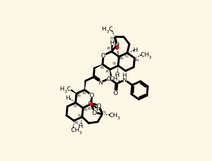 C[C@H]1[C@@H](CC(C[C@H]2O[C@@H]3O[C@]4(C)CC[C@H]5[C@H](C)CC[C@@H]([C@H]2C)[C@@]35OO4)=NOC(=O)Nc2ccccc2)O[C@@H]2O[C@]3(C)CC[C@H]4[C@H](C)CC[C@@H]1[C@@]24OO3